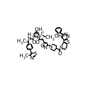 Cc1ncsc1-c1ccc([C@H](C)NC(=O)[C@@H]2C[C@@H](O)CN2C(=O)[C@@H](c2cc(N3CCC(C(=O)N4CCc5sc6nnc(-c7ccccc7O)cc6c5C4)CC3)no2)C(C)C)cc1